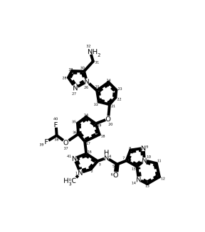 Cn1cc(NC(=O)c2cnn3cccnc23)c(-c2cc(Oc3cccc(-n4nccc4CN)c3)ccc2OC(F)F)n1